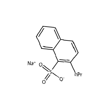 CCCc1ccc2ccccc2c1S(=O)(=O)[O-].[Na+]